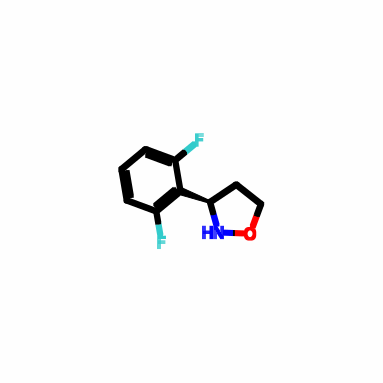 Fc1cccc(F)c1[C@H]1CCON1